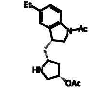 CCc1ccc2c(c1)[C@@H](C[C@@H]1C[C@H](OC(C)=O)CN1)CN2C(C)=O